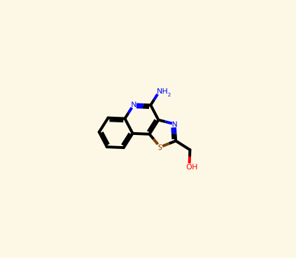 Nc1nc2ccccc2c2sc(CO)nc12